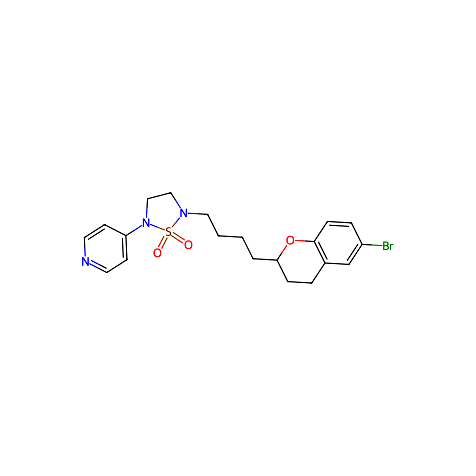 O=S1(=O)N(CCCCC2CCc3cc(Br)ccc3O2)CCN1c1ccncc1